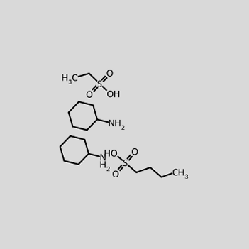 CCCCS(=O)(=O)O.CCS(=O)(=O)O.NC1CCCCC1.NC1CCCCC1